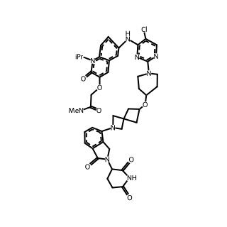 CNC(=O)COc1cc2cc(Nc3nc(N4CCC(OC5CC6(C5)CN(c5cccc7c5CN(C5CCC(=O)NC5=O)C7=O)C6)CC4)ncc3Cl)ccc2n(C(C)C)c1=O